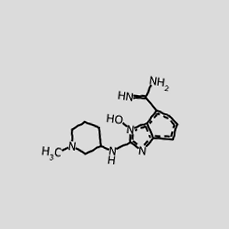 CN1CCCC(Nc2nc3cccc(C(=N)N)c3n2O)C1